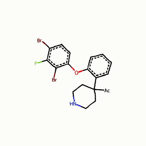 CC(=O)C1(c2ccccc2Oc2ccc(Br)c(F)c2Br)CCNCC1